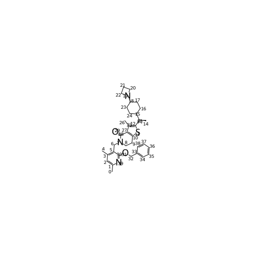 Cc1cc(C)c(CN2CCc3sc([C@H](C)C4CCC(N5CCC5)CC4)c(C)c3C2=O)c(OCc2ccccc2)n1